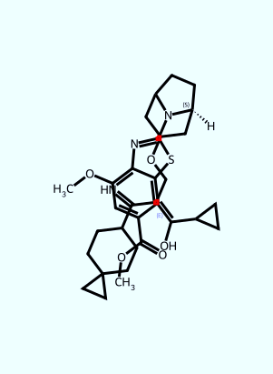 COC(=O)c1cc(OC)c2nc(N3C4CC[C@H]3CC(OC/C(C(=N)C3CCC5(CC3)CC5)=C(/O)C3CC3)C4)sc2c1